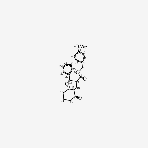 COc1ccc(COC(=O)C(CC2CCCCC2=O)C(=O)c2ccccc2)cc1